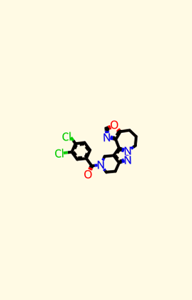 O=C(c1ccc(Cl)c(Cl)c1)N1CCc2nn3c(c2C1)-c1ncoc1CCC3